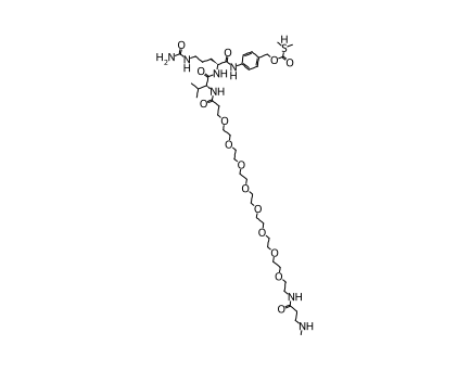 CNCCC(=O)NCCOCCOCCOCCOCCOCCOCCOCCOCCC(=O)N[C@H](C(=O)N[C@@H](CCCNC(N)=O)C(=O)Nc1ccc(COC(=O)[SH](C)C)cc1)C(C)C